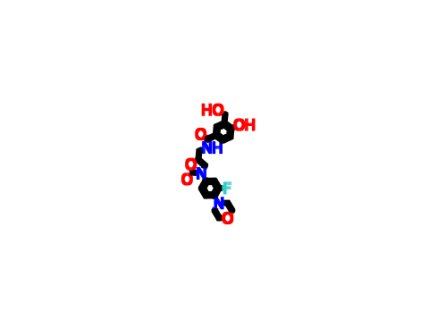 O=C(NCC1CN(c2ccc(N3CCOCC3)c(F)c2)C(=O)O1)c1ccc(O)c(CO)c1